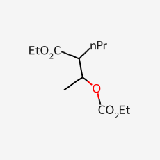 CCCC(C(=O)OCC)C(C)OC(=O)OCC